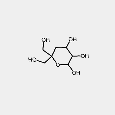 OCC1(CO)CC(O)C(O)C(O)O1